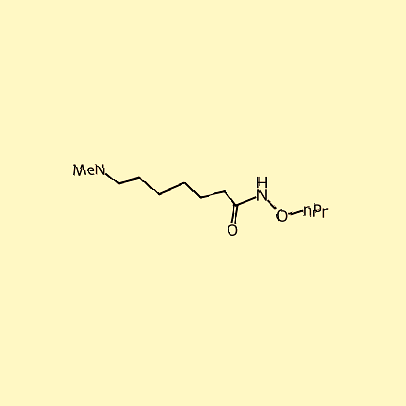 CCCONC(=O)CCCCCCNC